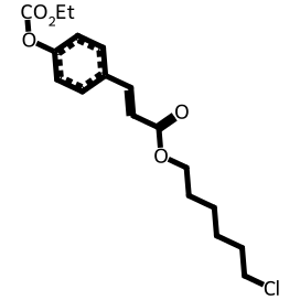 CCOC(=O)Oc1ccc(/C=C/C(=O)OCCCCCCCl)cc1